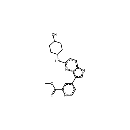 COC(=O)c1cc(-c2cnc3ccc(N[C@H]4CC[C@H](O)CC4)nn23)ccn1